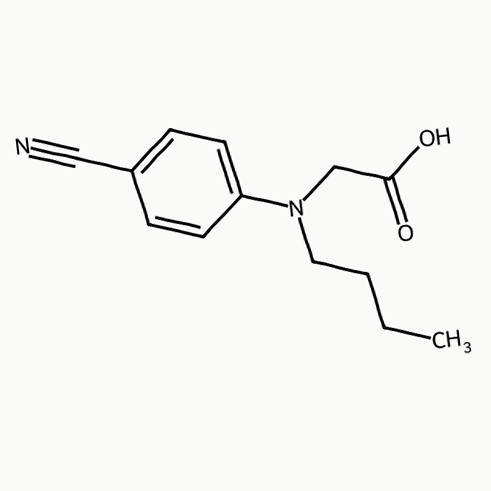 CCCCN(CC(=O)O)c1ccc(C#N)cc1